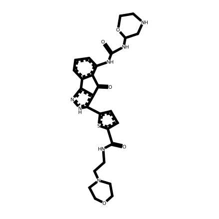 O=C(Nc1cccc2c1C(=O)c1c-2n[nH]c1-c1ccc(C(=O)NCCN2CCOCC2)s1)NC1CNCCO1